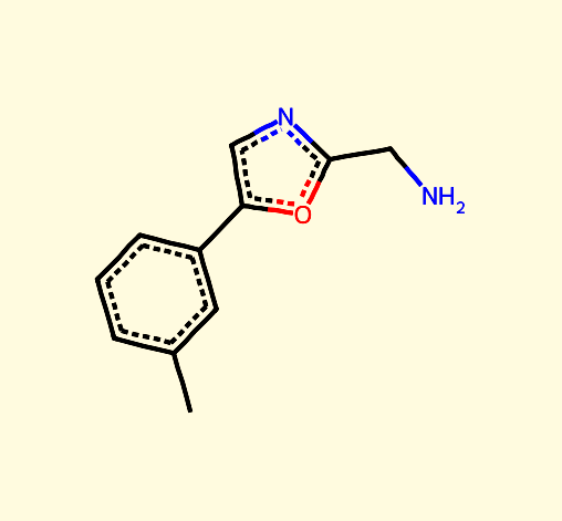 Cc1cccc(-c2cnc(CN)o2)c1